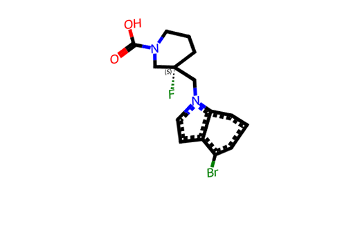 O=C(O)N1CCC[C@@](F)(Cn2ccc3c(Br)cccc32)C1